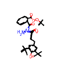 CC(C)(C)OOC(=O)c1ccccc1C(=O)N(N)C(=O)CCc1cc(C(C)(C)C)c(O)c(C(C)(C)C)c1